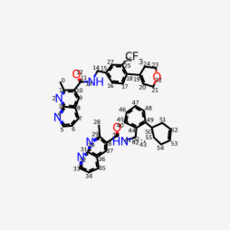 Cc1nc2ncccc2cc1C(=O)NCc1ccc(C2=CCOCC2)c(C(F)(F)F)c1.Cc1nc2ncccc2cc1C(=O)N[C@@H](C)c1ccccc1C1CC=CCC1